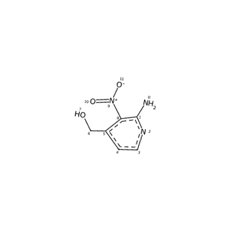 Nc1nccc(CO)c1[N+](=O)[O-]